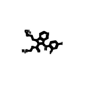 CCOC(=O)c1c(Nc2ccc(I)cc2F)c2cnccc2n1CCOC